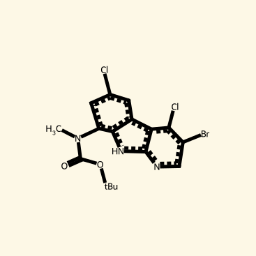 CN(C(=O)OC(C)(C)C)c1cc(Cl)cc2c1[nH]c1ncc(Br)c(Cl)c12